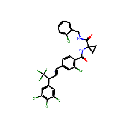 O=C(NC1(C(=O)NCc2ccccc2Cl)CC1)c1ccc(/C=C/C(c2cc(Cl)c(Cl)c(Cl)c2)C(F)(F)F)cc1Br